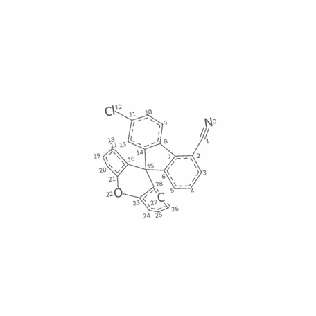 N#Cc1cccc2c1-c1ccc(Cl)cc1C21c2ccccc2Oc2ccccc21